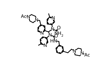 CC(=O)N1CCN(CCc2cccc(CNC(=O)N(c3ccc(C)nc3)C(c3cc(CN4CCN(C(C)=O)CC4)ccn3)N(C(N)=O)c3ccc(C)nc3)c2)CC1